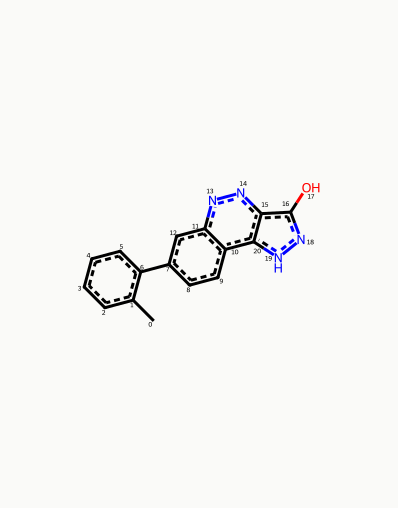 Cc1ccccc1-c1ccc2c(c1)nnc1c(O)n[nH]c12